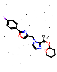 C[C@H](OC1CCCCO1)c1nccn1Cc1coc(-c2ccc(I)cc2)n1